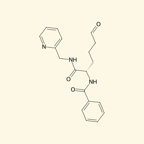 O=CCCC[C@H](NC(=O)c1ccccc1)C(=O)NCc1ccccn1